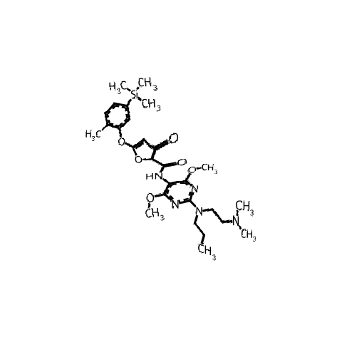 CCCN(CCN(C)C)c1nc(OC)c(NC(=O)C2OC(Oc3cc([Si](C)(C)C)ccc3C)=CC2=O)c(OC)n1